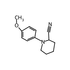 COc1ccc(N2CCCCC2C#N)cc1